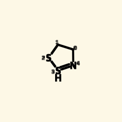 C1CS[SH]=N1